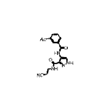 CC(=O)c1cccc(C(=O)Nc2c[nH]nc2C(=O)NCCC#N)c1